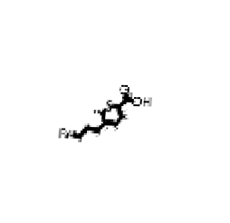 O=C(O)C1=CC=C(CCCBr)CS1